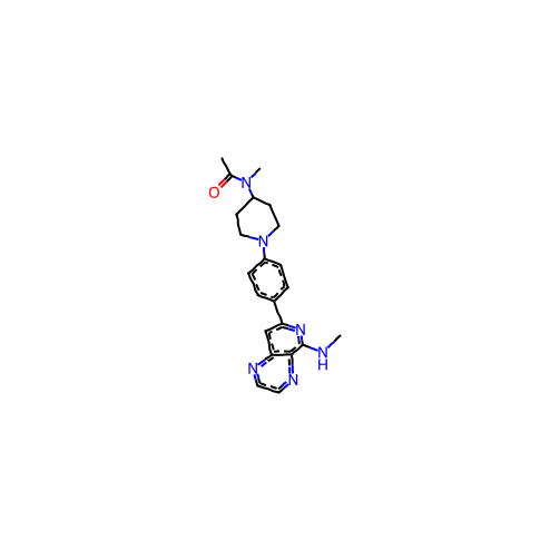 CNc1nc(-c2ccc(N3CCC(N(C)C(C)=O)CC3)cc2)cc2nccnc12